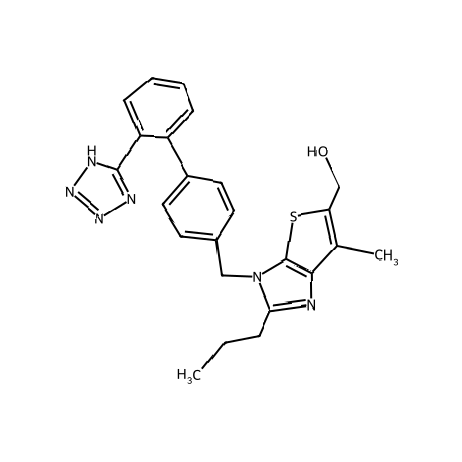 CCCc1nc2c(C)c(CO)sc2n1Cc1ccc(-c2ccccc2-c2nnn[nH]2)cc1